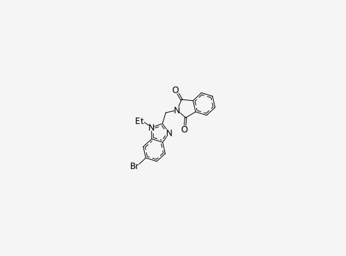 CCn1c(CN2C(=O)c3ccccc3C2=O)nc2ccc(Br)cc21